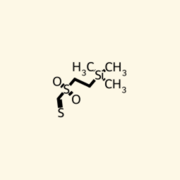 C[Si](C)(C)CCS(=O)(=O)C=S